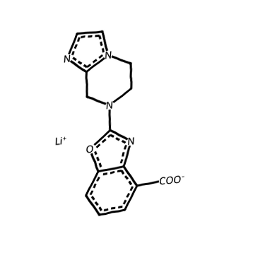 O=C([O-])c1cccc2oc(N3CCn4ccnc4C3)nc12.[Li+]